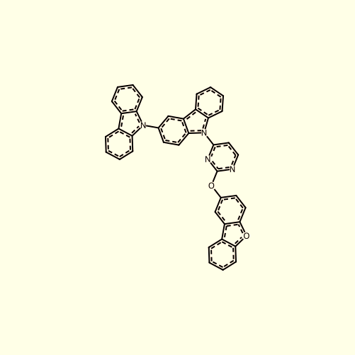 c1ccc2c(c1)oc1ccc(Oc3nccc(-n4c5ccccc5c5cc(-n6c7ccccc7c7ccccc76)ccc54)n3)cc12